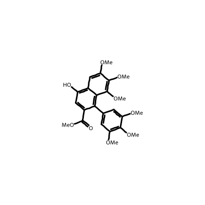 COC(=O)c1cc(O)c2cc(OC)c(OC)c(OC)c2c1-c1cc(OC)c(OC)c(OC)c1